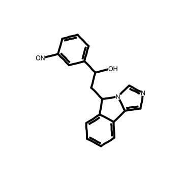 O=Nc1cccc(C(O)CC2c3ccccc3-c3cncn32)c1